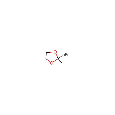 C[CH]CC1(C)OCCO1